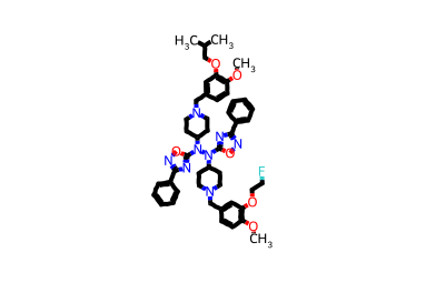 COc1ccc(CN2CCC(N(c3nc(-c4ccccc4)no3)N(c3nc(-c4ccccc4)no3)C3CCN(Cc4ccc(OC)c(OCC(C)C)c4)CC3)CC2)cc1OCCF